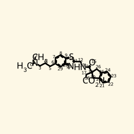 CN(C)CCCc1ccc2sc(CNC(=O)C3(CC(=O)O)Cc4ccccc4C3)nc2c1